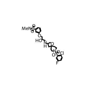 CNS(=O)(=O)c1cccc(OCC(O)CNC2COC3(CCN(S(=O)(=O)c4cc(F)ccc4Cl)CC3)C2)c1